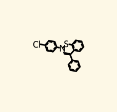 Clc1ccc(N2C=C(c3ccccc3)c3ccccc3S2)cc1